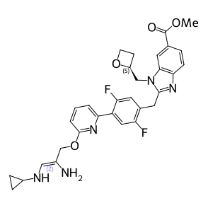 COC(=O)c1ccc2nc(Cc3cc(F)c(-c4cccc(OC/C(N)=C/NC5CC5)n4)cc3F)n(C[C@@H]3CCO3)c2c1